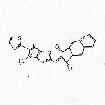 Cn1c(-c2cccs2)nc2oc(C=C3C(=O)c4cc5ccccc5cc4C3=O)cc21